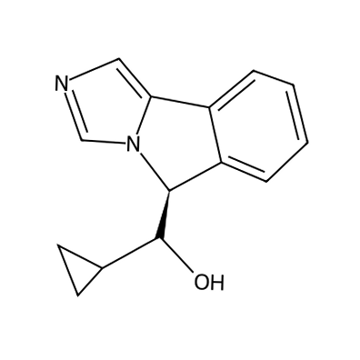 OC(C1CC1)[C@@H]1c2ccccc2-c2cncn21